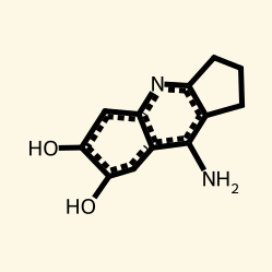 Nc1c2c(nc3cc(O)c(O)cc13)CCC2